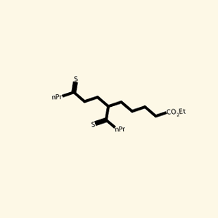 CCCC(=S)CCC(CCCCC(=O)OCC)C(=S)CCC